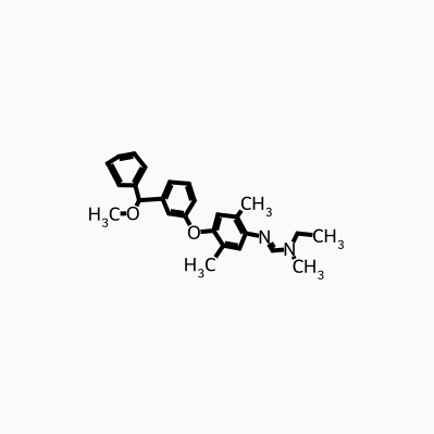 CCN(C)/C=N/c1cc(C)c(Oc2cccc(C(OC)c3ccccc3)c2)cc1C